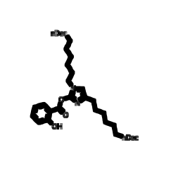 CCCCCCCCCCCCCCCCc1cn(CCCCCCCCCCCCCCCC)c(OC(=O)c2ccccc2O)n1